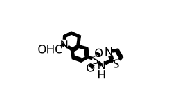 O=CN1CCCc2cc(S(=O)(=O)Nc3nccs3)ccc21